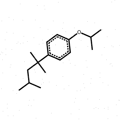 CC(C)CC(C)(C)c1ccc(OC(C)C)cc1